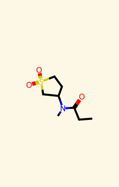 CCC(=O)N(C)C1CCS(=O)(=O)C1